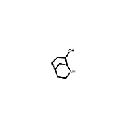 OC1CCC2CCNC1C2